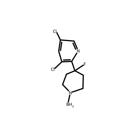 BN1CCC(F)(c2ncc(Cl)cc2Cl)CC1